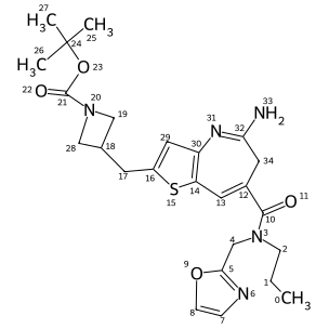 CCCN(Cc1ncco1)C(=O)C1=Cc2sc(CC3CN(C(=O)OC(C)(C)C)C3)cc2N=C(N)C1